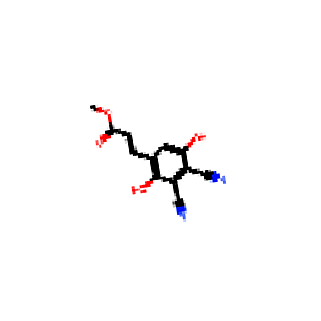 COC(=O)/C=C/c1cc(O)c(C#N)c(C#N)c1O